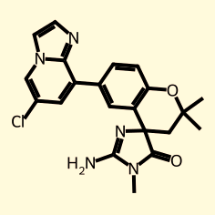 CN1C(=O)C2(CC(C)(C)Oc3ccc(-c4cc(Cl)cn5ccnc45)cc32)N=C1N